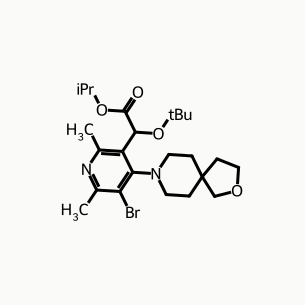 Cc1nc(C)c(C(OC(C)(C)C)C(=O)OC(C)C)c(N2CCC3(CCOC3)CC2)c1Br